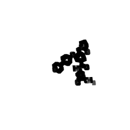 CN1C[C@@H](NC(=O)c2ccc(CN3CCCC3=O)c(Oc3ccc(C4CCOCC4)cc3)c2)CC1=O